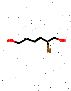 OCCCCC(S)CO